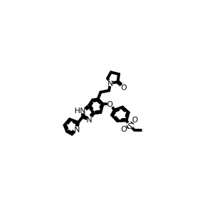 CCS(=O)(=O)c1ccc(Oc2cc3nc(-c4ccccn4)[nH]c3cc2CCN2CCCC2=O)cc1